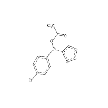 O=C(O[I+](c1ccc(Cl)cc1)c1cccs1)C(Cl)(Cl)Cl